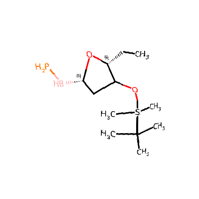 CC[C@H]1O[C@@H](BP)CC1O[Si](C)(C)C(C)(C)C